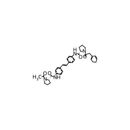 CC(=O)N1CCC[C@H]1C(=O)Nc1ccc(/C=C/c2ccc(NC(=O)[C@@H]3CCCN3C(=O)CC3=CCCC=C3)cc2)cc1